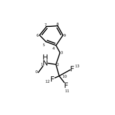 CNC(Cc1ccccc1)C(F)(F)F